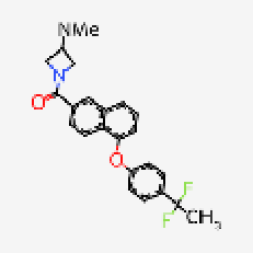 CNC1CN(C(=O)c2ccc3c(Oc4ccc(C(C)(F)F)cc4)cccc3c2)C1